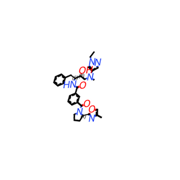 CCn1cc(N(C)C[C@@H](O)[C@H](Cc2ccccc2)NC(=O)c2cccc(C(=O)N3CCC[C@@H]3c3nc(C)co3)c2)cn1